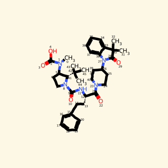 CN(C(=O)O)C1CCN(C(=O)N[C@@H](CCc2ccccc2)C(=O)N2CCC(N3C(=O)C(C)(C)c4ccccc43)CC2)[C@H]1C(C)(C)C